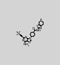 CN1CCc2nc(NC(=O)C3CCC(n4cnc5c(N)nc(C#C[Si](C)(C)C)nc54)CC3)sc2C1